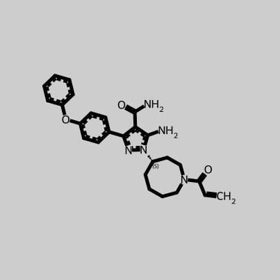 C=CC(=O)N1CCCC[C@H](n2nc(-c3ccc(Oc4ccccc4)cc3)c(C(N)=O)c2N)CC1